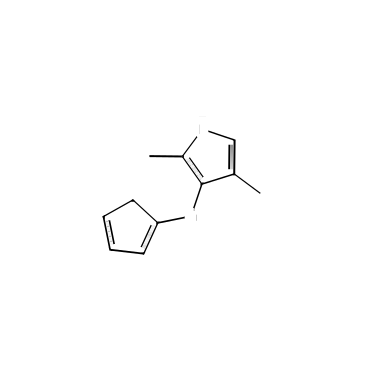 Cc1c[pH]c(C)[c]1[Ti][C]1=CC=CC1